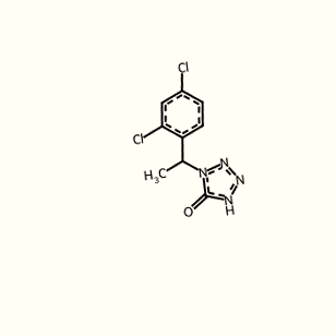 CC(c1ccc(Cl)cc1Cl)n1nn[nH]c1=O